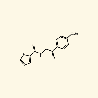 COc1ccc(C(=O)CNC(=O)c2cccs2)cc1